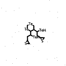 [TeH]C(CC1CS1)C1C[Te]C[Te]C1C([TeH])CC1CS1